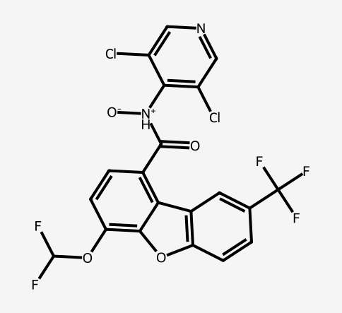 O=C(c1ccc(OC(F)F)c2oc3ccc(C(F)(F)F)cc3c12)[NH+]([O-])c1c(Cl)cncc1Cl